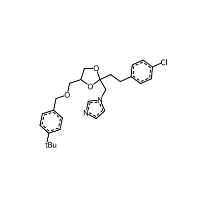 CC(C)(C)c1ccc(COCC2COC(CCc3ccc(Cl)cc3)(Cn3ccnc3)O2)cc1